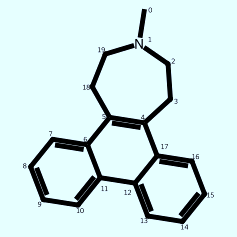 CN1CCc2c(c3ccccc3c3ccccc23)CC1